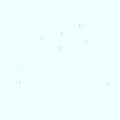 CCCCCc1cc2c(nc(O)n2CCCCS(C)(=O)=O)c(N)n1